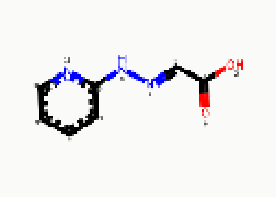 O=C(O)/C=N/Nc1ccccn1